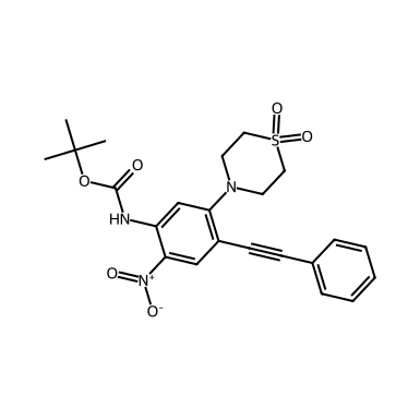 CC(C)(C)OC(=O)Nc1cc(N2CCS(=O)(=O)CC2)c(C#Cc2ccccc2)cc1[N+](=O)[O-]